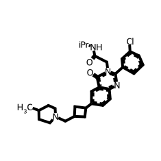 CC1CCN(CC2CC(c3ccc4nc(-c5cccc(Cl)c5)n(CC(=O)NC(C)C)c(=O)c4c3)C2)CC1